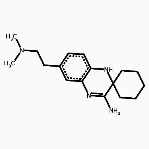 CN(C)CCc1ccc2c(c1)N=C(N)C1(CCCCC1)N2